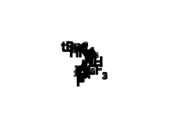 CC(NC1CCC1NCc1ccc(F)cc1C(F)(F)F)C(C)(C)C